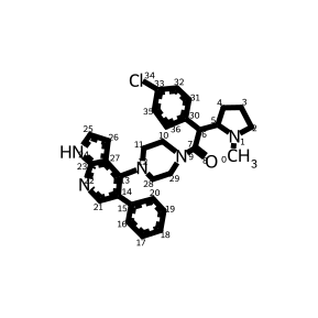 CN1CCCC1C(C(=O)N1CCN(c2c(-c3ccccc3)cnc3[nH]ccc23)CC1)c1ccc(Cl)cc1